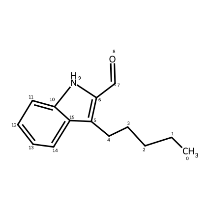 CCCCCc1c([C]=O)[nH]c2ccccc12